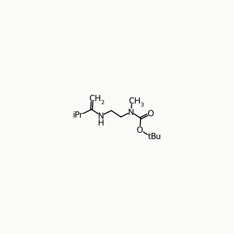 C=C(NCCN(C)C(=O)OC(C)(C)C)C(C)C